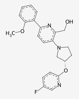 COc1ccccc1-c1ccc(N2CC[C@H](Oc3ccc(F)cn3)C2)c(CO)n1